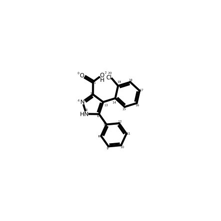 O=C(O)c1n[nH]c(-c2ccccc2)c1-c1ccccc1Cl